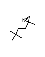 CC(C)(C)CCC1(C)C=N1